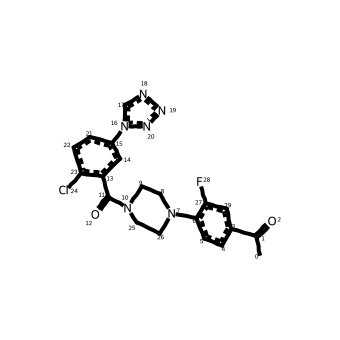 CC(=O)c1ccc(N2CCN(C(=O)c3cc(-n4cnnn4)ccc3Cl)CC2)c(F)c1